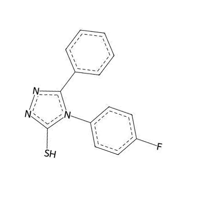 Fc1ccc(-n2c(S)nnc2-c2ccccc2)cc1